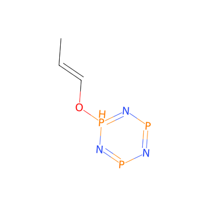 CC=CO[PH]1=NP=NP=N1